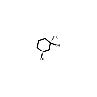 CN1CCC[C@@](C)(O)C1